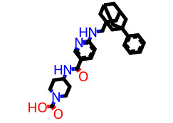 O=C(NC1CCN(C(=O)O)CC1)c1ccc(NCC23CC4CC(C2)CC(c2ccccc2)(C4)C3)nc1